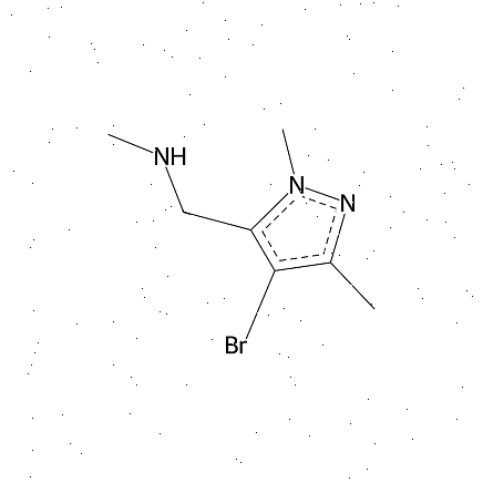 CNCc1c(Br)c(C)nn1C